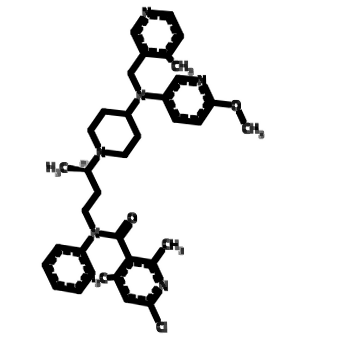 COc1ccc(N(Cc2cnccc2C)C2CCN([C@H](C)CCN(C(=O)c3c(C)cc(Cl)nc3C)c3ccccc3)CC2)cn1